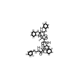 CC(NC(=O)C(Cc1ccccc1)NC(=O)Cc1ccccc1)C(=O)C(=O)NC(Cc1ccccc1)C(=O)NC(C)(C)C(=O)NCCc1ccccc1